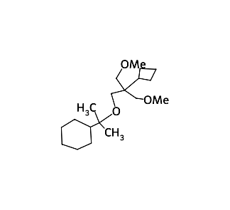 COCC(COC)(COC(C)(C)C1CCCCC1)C1CCC1